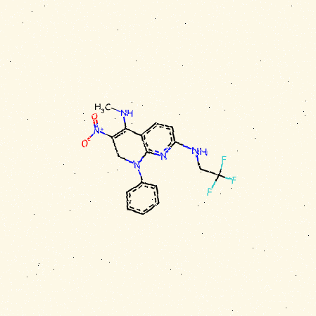 CNC1=C([N+](=O)[O-])CN(c2ccccc2)c2nc(NCC(F)(F)F)ccc21